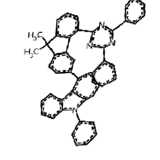 CC1(C)c2ccc(-c3cccc4c3c3ccccc3n4-c3ccccc3)cc2-c2c(-c3nc(-c4ccccc4)nc(-c4ccccc4)n3)cccc21